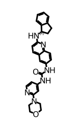 O=C(Nc1ccnc(N2CCOCC2)c1)Nc1ccc2nc(N[C@@H]3CCc4ccccc43)ccc2c1